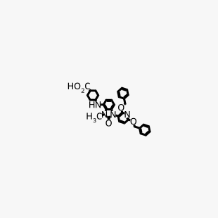 Cn1c(=O)n(-c2ccc(OCc3ccccc3)nc2OCc2ccccc2)c2cccc(NC3CCC(C(=O)O)CC3)c21